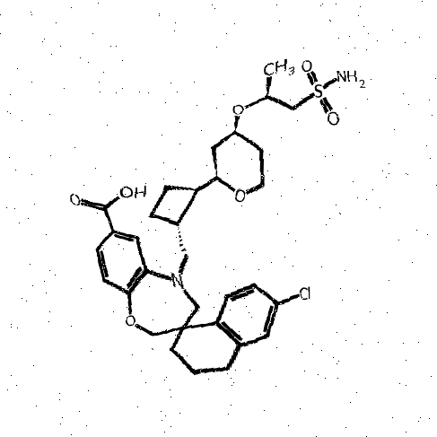 C[C@@H](CS(N)(=O)=O)O[C@H]1CCO[C@@H]([C@@H]2CC[C@H]2CN2CC3(CCCc4cc(Cl)ccc43)COc3ccc(C(=O)O)cc32)C1